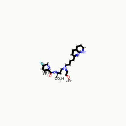 CC(C)OCCN(CCCCc1ccc2c(n1)NCCC2)CC[C@H](NC(=O)c1ncc(F)cc1C(F)(F)F)C(=O)O